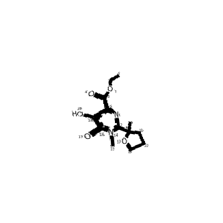 CCOC(=O)c1nc(C2(C)CCCO2)n(C)c(=O)c1O